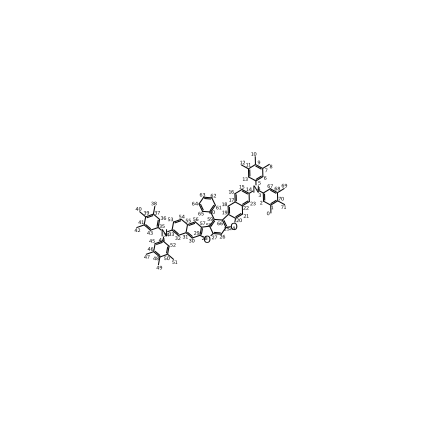 Cc1cc(N(c2cc(C)c(C)c(C)c2)c2ccc3cc4c(cc3c2)oc2cc3oc5cc6cc(N(c7cc(C)c(C)c(C)c7)c7cc(C)c(C)c(C)c7)ccc6cc5c3c(-c3ccccc3)c24)cc(C)c1C